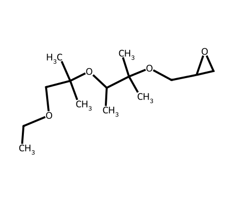 CCOCC(C)(C)OC(C)C(C)(C)OCC1CO1